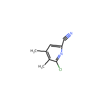 Cc1cc(C#N)nc(Cl)c1C